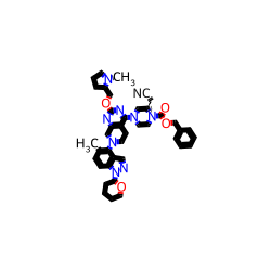 Cc1ccc2c(cnn2C2CCCCO2)c1N1CCc2c(nc(OCC3CCCN3C)nc2N2CCN(C(=O)OCc3ccccc3)[C@@H](CC#N)C2)C1